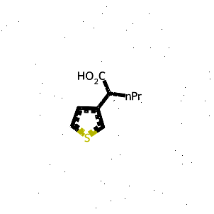 CCCC(C(=O)O)c1ccsc1